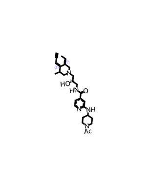 C#C/C=C1\C(=C/C)CN(C[C@@H](O)CNC(=O)c2ccnc(NC3CCN(C(C)=O)CC3)c2)CC1C